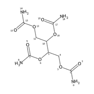 NC(=O)OCC(OC(N)=O)C(COC(N)=O)OC(N)=O